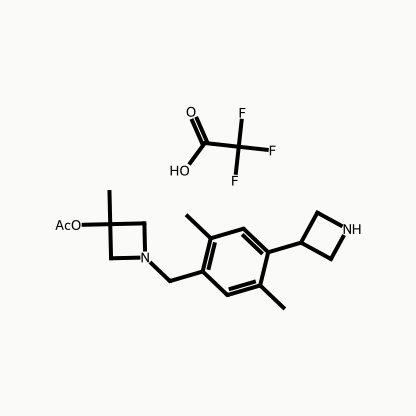 CC(=O)OC1(C)CN(Cc2cc(C)c(C3CNC3)cc2C)C1.O=C(O)C(F)(F)F